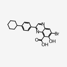 O=C(O)c1c(O)c(Br)cc2ncc(-c3ccc(C4CCCCC4)cc3)nc12